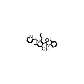 CCCc1c(C(=O)Nc2ccccc2Cl)c(=O)cc(C)n1Cc1ccccn1